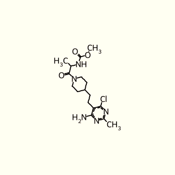 COC(=O)NC(C)C(=O)N1CCC(CCc2c(N)nc(C)nc2Cl)CC1